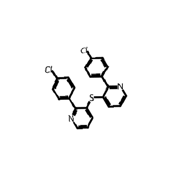 Clc1ccc(-c2ncccc2Sc2cccnc2-c2ccc(Cl)cc2)cc1